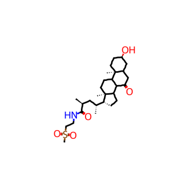 C[C@H](C[C@H](C)C(=O)NCCS(C)(=O)=O)[C@H]1CCC2C3C(=O)CC4C[C@H](O)CC[C@]4(C)C3CC[C@@]21C